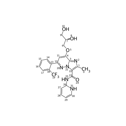 Cc1nc2c(OC[C@H](O)CO)cc(-c3ccccc3C(F)(F)F)nn2c1C(=O)NC1C=CC=CN1